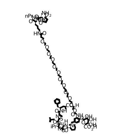 C=C(C)CO[C@H](C[C@H](C(C)C)N(C)C(=O)[C@@H](NC(=O)[C@H]1CCCC[N+]1(C)Cc1ccc(O[C@@H]2O[C@H](C(=O)O)[C@@H](O)[C@H](O)[C@H]2O)c(NC(=O)OCCOCCOCCOCCOCCOCCOCCOCCOCCOCCOCCOCCC(=O)NCCCC[C@H](NC(=O)[C@H](CN)N2C(=O)C=CC2=O)C(=O)NCCC)c1)[C@@H](C)CC)c1nc(C(=O)N[C@@H](Cc2ccccc2)C[C@H](C)C(=O)O)cs1